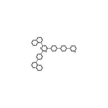 c1cncc(-c2ccc(-c3ccc(-c4cc(-c5cccc6ccccc56)nc(-c5ccc(-c6cccc7ccccc67)cc5)n4)cc3)cc2)c1